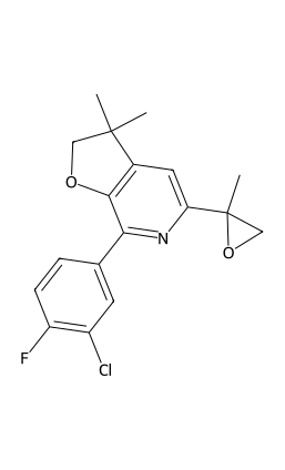 CC1(C)COc2c1cc(C1(C)CO1)nc2-c1ccc(F)c(Cl)c1